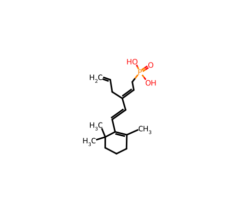 C=CCC(/C=C/C1=C(C)CCCC1(C)C)=C\CP(=O)(O)O